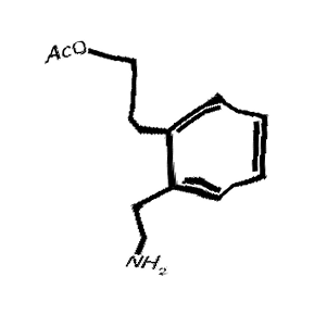 CC(=O)OCCc1ccccc1CN